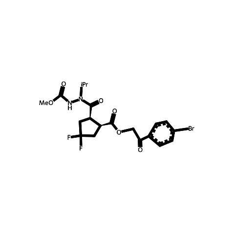 COC(=O)NN(C(=O)[C@@H]1CC(F)(F)C[C@@H]1C(=O)OCC(=O)c1ccc(Br)cc1)C(C)C